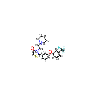 O=C1CSC(c2cccc(Oc3cccc(C(F)(F)F)c3)c2)N1CCN1CCCCC1